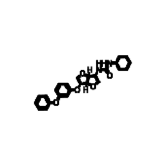 O=C(NC1CCCCC1)N[C@H]1CO[C@H]2[C@@H]1OC[C@@H]2Oc1cccc(Oc2ccccc2)c1